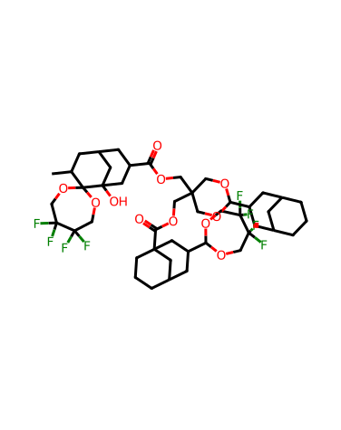 CC1CC2CC(C(=O)OCC3(COC(=O)C45CCCC(CC(C6OCC(F)(F)C(F)(F)CO6)C4)C5)COC(C4CC5CCCC(C5)C4)OC3)CC(O)(C2)C12OCC(F)(F)C(F)(F)CO2